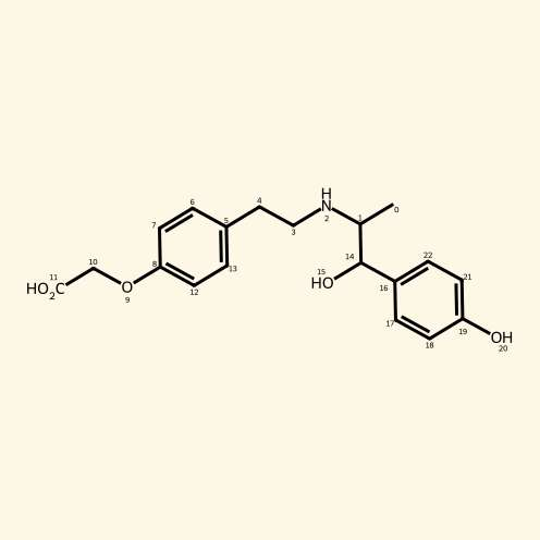 CC(NCCc1ccc(OCC(=O)O)cc1)C(O)c1ccc(O)cc1